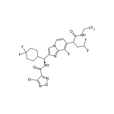 CCc1nonc1C(=O)N[C@H](c1cn2ccc(C(CC(F)F)C(=O)NCC(F)(F)F)c(F)c2n1)C1CCC(F)(F)CC1